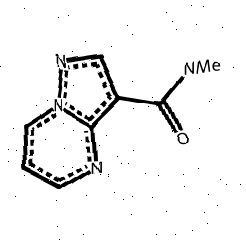 CNC(=O)c1cnn2cccnc12